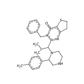 Cc1ccc(C2CNCCN2C(c2nc3c(c(=O)n2Cc2ccccc2)SCC3)C(C)C)cc1